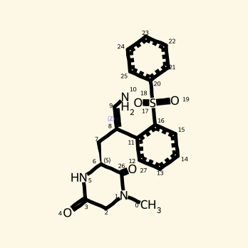 CN1CC(=O)N[C@@H](C/C(=C/N)c2ccccc2S(=O)(=O)c2ccccc2)C1=O